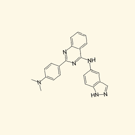 CN(C)c1ccc(-c2nc(Nc3ccc4[nH]ncc4c3)c3ccccc3n2)cc1